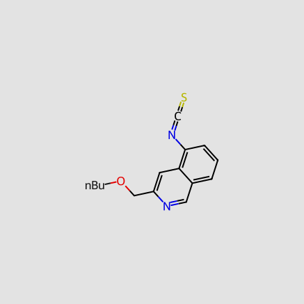 CCCCOCc1cc2c(N=C=S)cccc2cn1